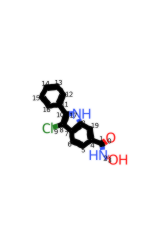 O=C(NO)c1ccc2c(Cl)c(-c3ccccc3)[nH]c2c1